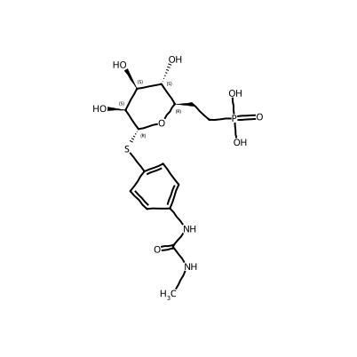 CNC(=O)Nc1ccc(S[C@H]2O[C@H](CCP(=O)(O)O)[C@@H](O)[C@H](O)[C@@H]2O)cc1